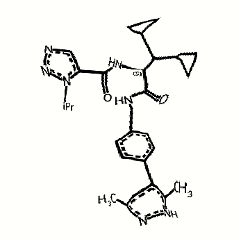 Cc1n[nH]c(C)c1-c1ccc(NC(=O)[C@@H](NC(=O)c2cnnn2C(C)C)C(C2CC2)C2CC2)cc1